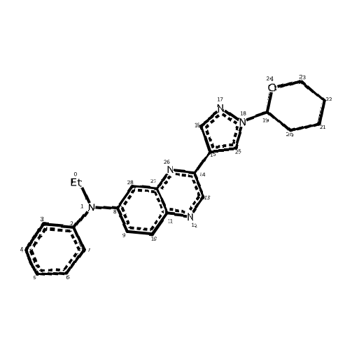 CCN(c1ccccc1)c1ccc2ncc(-c3cnn(C4CCCCO4)c3)nc2c1